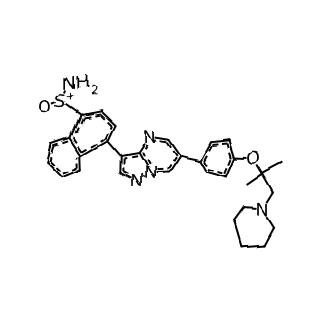 CC(C)(CN1CCCCC1)Oc1ccc(-c2cnc3c(-c4ccc([S+](N)[O-])c5ccccc45)cnn3c2)cc1